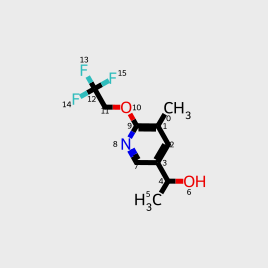 Cc1cc(C(C)O)cnc1OCC(F)(F)F